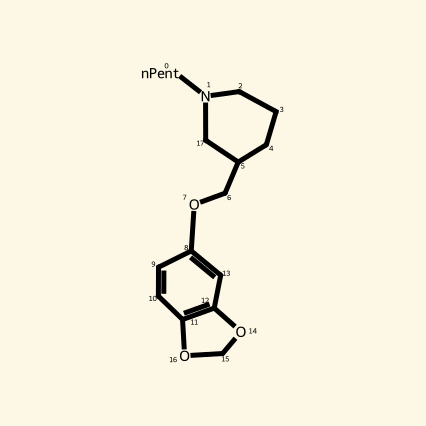 CCCCCN1CCCC(COc2ccc3c(c2)OCO3)C1